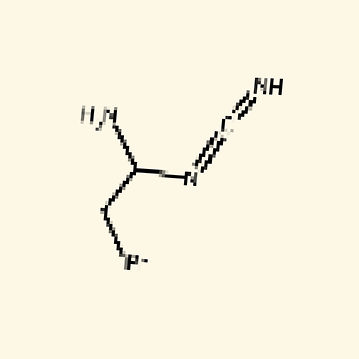 CC(C)CC(N)N=C=N